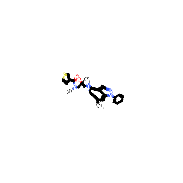 CCCN(CC(O)(CNc1cc(C)cc2c1cnn2-c1ccccc1)C(F)(F)F)C(=O)c1ccsc1